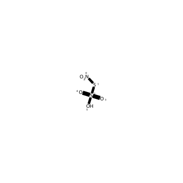 O=[N+]([O-])SS(=O)(=O)O